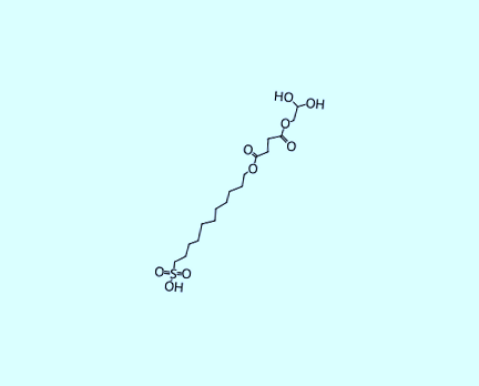 O=C(CCC(=O)OCC(O)O)OCCCCCCCCCCCS(=O)(=O)O